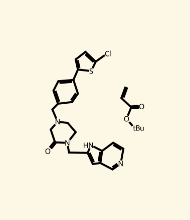 C=CC(=O)OC(C)(C)C.O=C1CN(Cc2ccc(-c3ccc(Cl)s3)cc2)CCN1Cc1cc2cnccc2[nH]1